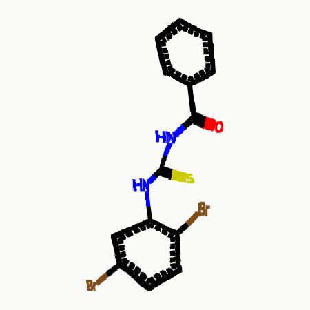 O=C(NC(=S)Nc1cc(Br)ccc1Br)c1ccccc1